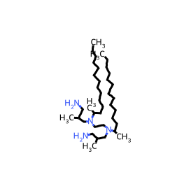 CCCCCCCCCCCCC(C)N(CCN(CC(C)CN)C(C)CCCCCCCCCCCC)CC(C)CN